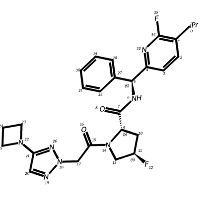 CC(C)c1ccc([C@@H](NC(=O)[C@@H]2C[C@@H](F)CN2C(=O)Cn2ncc(N3CCC3)n2)c2ccccc2)nc1F